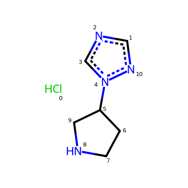 Cl.c1ncn(C2CCNC2)n1